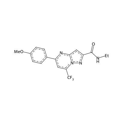 CCNC(=O)c1cc2nc(-c3ccc(OC)cc3)cc(C(F)(F)F)n2n1